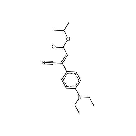 CCN(CC)c1ccc(C(C#N)=CC(=O)OC(C)C)cc1